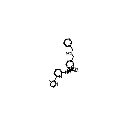 Cl.Cl.c1ccc(CNCc2ccc(Nc3cccc(-c4nccs4)n3)nc2)cc1